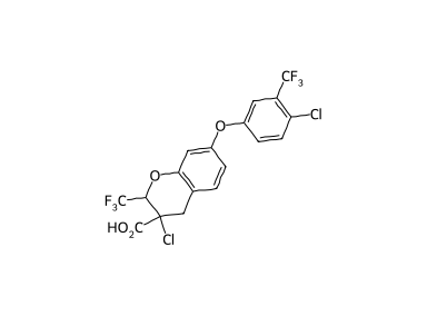 O=C(O)C1(Cl)Cc2ccc(Oc3ccc(Cl)c(C(F)(F)F)c3)cc2OC1C(F)(F)F